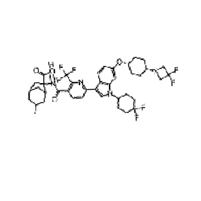 CC1CC2CC(C1)C(NC(=O)c1ccc(-c3cn(C4CCC(F)(F)CC4)c4cc(O[C@H]5CC[C@H](N6CC(F)(F)C6)CC5)ccc34)nc1C(F)(F)F)(C(=O)O)C2